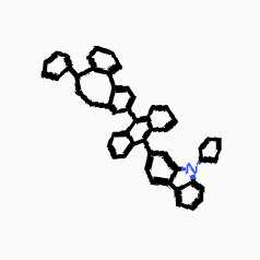 c1ccc(C2CCc3cc(-c4c5ccccc5c(-c5ccc6c7ccccc7n(-c7ccccc7)c6c5)c5ccccc45)ccc3-c3ccccc32)cc1